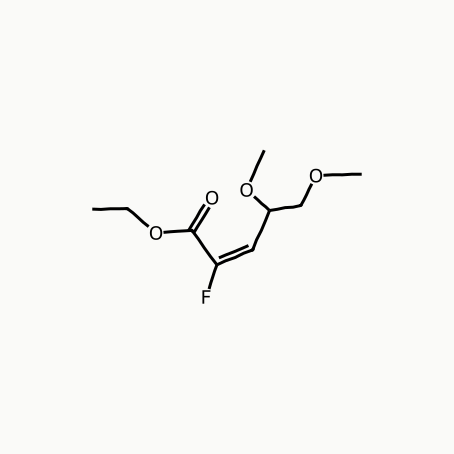 CCOC(=O)/C(F)=C\C(COC)OC